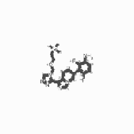 C[Si](C)(C)CCOCn1cnnc1-c1ncn2cc(-c3c(F)ccc(N)c3F)ccc12